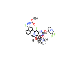 CC(C)[Si](C#Cc1cccc2c(F)c(NC(=O)OC(C)(C)C)cc(-c3nc4c5c(nc(OCC67CCCN6CC(F)(F)C7)nc5c3F)N3C[C@H]5CC[C@@H]([C@H]3[C@H](C)O4)N5C(=O)OC(C)(C)C)c12)(C(C)C)C(C)C